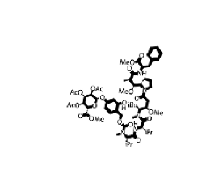 CCC(C)[C@@H]([C@@H](CC(=O)N1CCC[C@H]1[C@H](OC)[C@@H](C)C(=O)NC(Cc1ccccc1)C(=O)OC)OC)N(C)C(=O)[C@@H](NC(=O)[C@H](C(C)C)N(C)C(=O)OCc1ccc(O[C@@H]2O[C@H](C(=O)OC)[C@@H](OC(C)=O)[C@H](OC(C)=O)[C@H]2OC(C)=O)cc1O)C(C)C